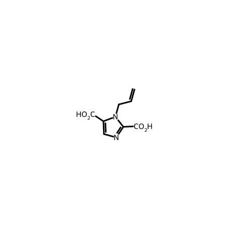 C=CCn1c(C(=O)O)cnc1C(=O)O